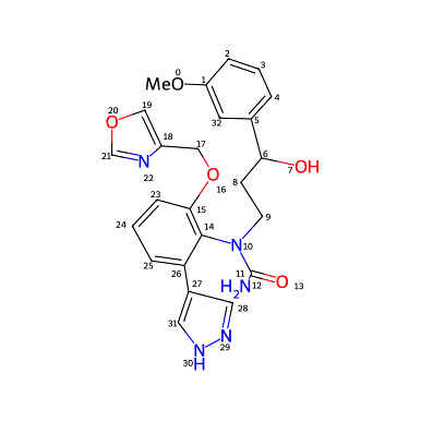 COc1cccc(C(O)CCN(C(N)=O)c2c(OCc3cocn3)cccc2-c2cn[nH]c2)c1